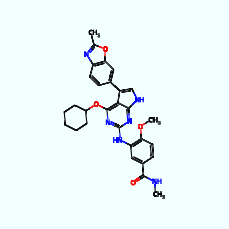 CNC(=O)c1ccc(OC)c(Nc2nc(OC3CCCCC3)c3c(-c4ccc5nc(C)oc5c4)c[nH]c3n2)c1